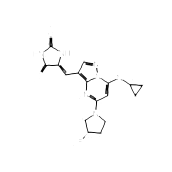 C=c1[nH]c(=O)[nH]/c1=C\c1cnn2c(NC3CC3)cc(N3CC[C@@H](F)C3)nc12